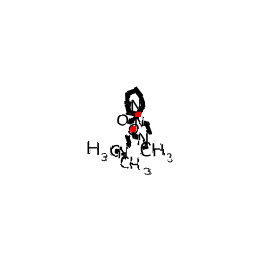 CN(C)CCOC(=O)CN1C2CCC1CC(N1CCN(C)CC1)C2